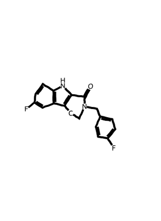 O=C1c2[nH]c3ccc(F)cc3c2CCN1Cc1ccc(F)cc1